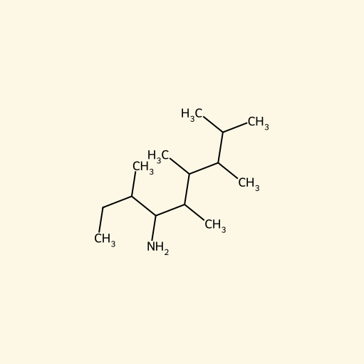 CCC(C)C(N)C(C)C(C)C(C)C(C)C